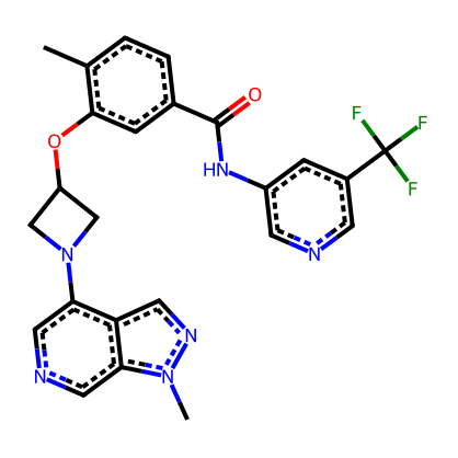 Cc1ccc(C(=O)Nc2cncc(C(F)(F)F)c2)cc1OC1CN(c2cncc3c2cnn3C)C1